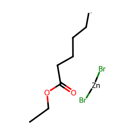 [Br][Zn][Br].[CH2]CCCCC(=O)OCC